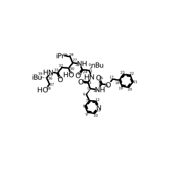 CCCC[C@H](NC(=O)[C@H](Cc1cccnc1)NC(=O)OCc1ccccc1)C(=O)NC(CC(C)C)C(O)CC(=O)N[C@H](CO)C(C)CC